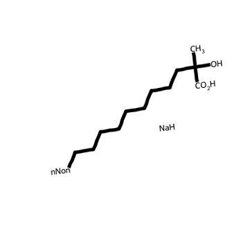 CCCCCCCCCCCCCCCCCCC(C)(O)C(=O)O.[NaH]